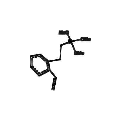 C=Cc1ccccc1CC[Si](OC)(OC)OC